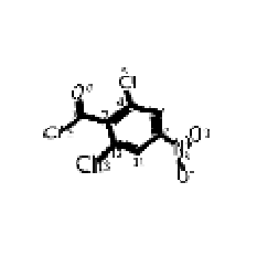 O=C(Cl)c1c(Cl)cc([N+](=O)[O-])cc1Cl